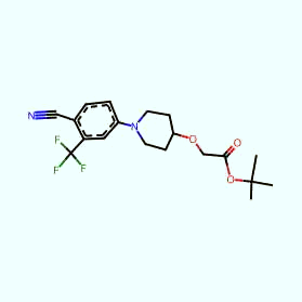 CC(C)(C)OC(=O)COC1CCN(c2ccc(C#N)c(C(F)(F)F)c2)CC1